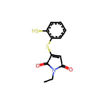 CCN1C(=O)C=C(Sc2ccccc2S)C1=O